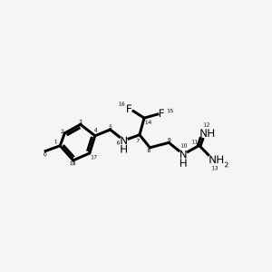 Cc1ccc(CNC(CCNC(=N)N)C(F)F)cc1